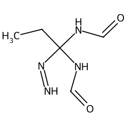 CCC(N=N)(NC=O)NC=O